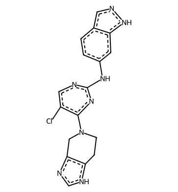 Clc1cnc(Nc2ccc3cn[nH]c3c2)nc1N1CCc2[nH]cnc2C1